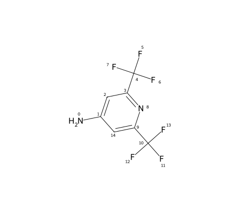 Nc1cc(C(F)(F)F)nc(C(F)(F)F)c1